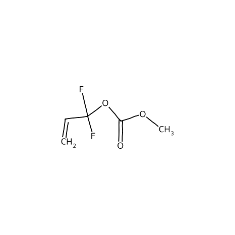 C=CC(F)(F)OC(=O)OC